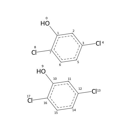 Oc1cc(Cl)ccc1Cl.Oc1cc(Cl)ccc1Cl